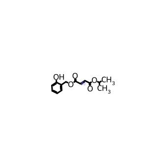 CC(C)OC(=O)/C=C/C(=O)OCc1ccccc1O